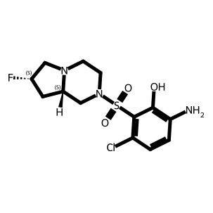 Nc1ccc(Cl)c(S(=O)(=O)N2CCN3C[C@@H](F)C[C@H]3C2)c1O